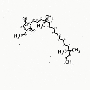 CCCC(C)(C)CCCCOCCCCC(C)(C)CCCN1C(=O)CN(CC)C1=O